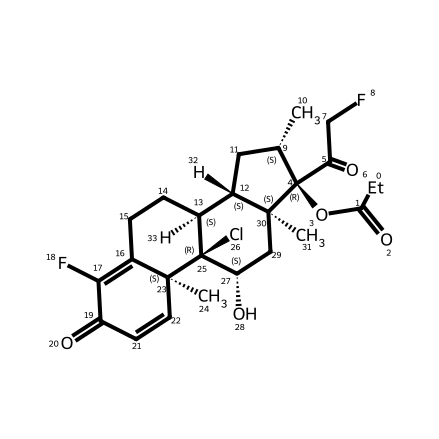 CCC(=O)O[C@]1(C(=O)CF)[C@@H](C)C[C@H]2[C@@H]3CCC4=C(F)C(=O)C=C[C@]4(C)[C@@]3(Cl)[C@@H](O)C[C@@]21C